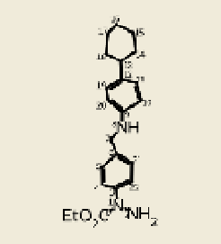 CCOC(=O)N(N)c1ccc(CNc2ccc(C3CCCCC3)cc2)cc1